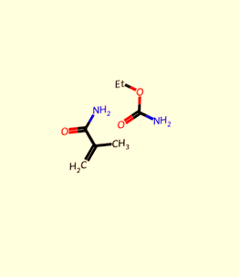 C=C(C)C(N)=O.CCOC(N)=O